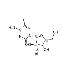 C#C[C@@]1(Cl)C(O)[C@@H](CO)O[C@H]1n1cc(F)c(N)nc1=O